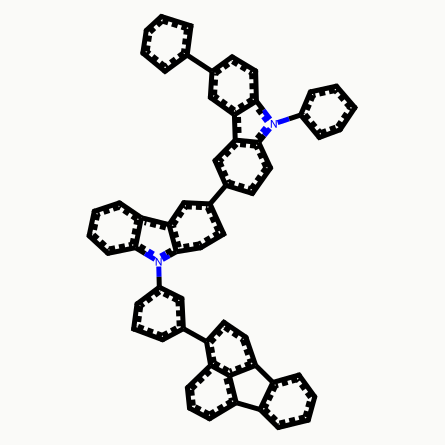 c1ccc(-c2ccc3c(c2)c2cc(-c4ccc5c(c4)c4ccccc4n5-c4cccc(-c5ccc6c7c(cccc57)-c5ccccc5-6)c4)ccc2n3-c2ccccc2)cc1